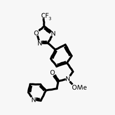 CON(Cc1ccc(-c2noc(C(F)(F)F)n2)cc1)C(=O)Cc1cccnc1